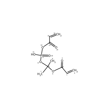 C=CC(=O)OC(C)(C)OP(=O)(O)OC(=O)C=C